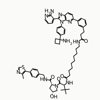 Cc1ncsc1-c1ccc(CNC(=O)[C@@H]2C[C@@H](O)CN2C(=O)C(NC(=O)CCCCCCCCCNC(=O)CCc2cccc(-c3ccc4nc(-c5cccnc5N)n(-c5ccc(C6(N)CCC6)cc5)c4n3)c2)C(C)(C)C)cc1